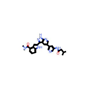 CC(C)CC(=O)Nc1cncc(-c2cnc3[nH]nc(-c4cc5c(C(=O)N(C)C)cccc5[nH]4)c3c2)c1